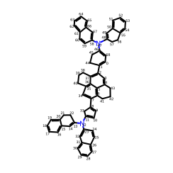 C1=C(c2cc3c4c(c(C5=CC=C(N(C6=Cc7ccccc7CC6)c6ccc7ccccc7c6)C5)cc5c4c2CCC5)CCC3)CCC(N(C2=Cc3ccccc3CC2)c2ccc3ccccc3c2)=C1